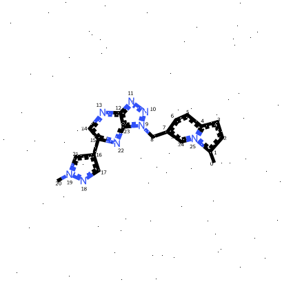 Cc1ccc2ccc(Cn3nnc4ncc(-c5cnn(C)c5)nc43)cn12